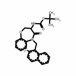 Cc1ccc2ccccc2c1CN1C(=O)C(NC(=O)OC(C)(C)C)COc2ccccc21